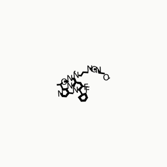 COCCN=C=NCCCN(C)c1nc(=O)n(-c2c(C)ccnc2C(C)C)c2nc(-c3ccccc3F)c(F)cc12